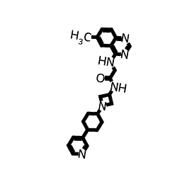 Cc1ccc2ncnc(NCC(=O)NC3CN(C4CCC(c5cccnc5)CC4)C3)c2c1